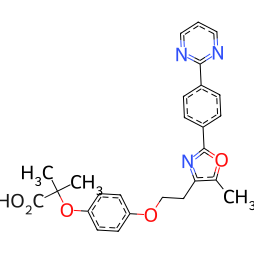 Cc1oc(-c2ccc(-c3ncccn3)cc2)nc1CCOc1ccc(OC(C)(C)C(=O)O)cc1